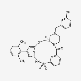 Cc1cccc(C)c1-c1cc2nc(n1)NS(=O)(=O)c1cccc(c1)C(=O)N1CCN(Cc3cccc(O)c3)C[C@@H]1CO2